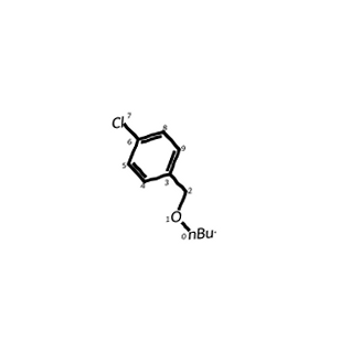 CCC[CH]OCc1ccc(Cl)cc1